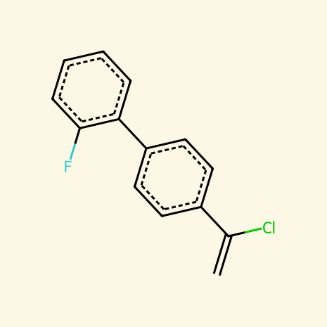 C=C(Cl)c1ccc(-c2ccccc2F)cc1